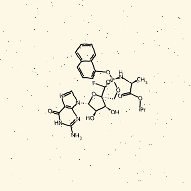 CC(C)OC(=O)[C@H](C)N[P@](=O)(OC[C@@]1(C(F)F)O[C@@H](n2cnc3c(=O)[nH]c(N)nc32)[C@H](O)[C@@H]1O)Oc1cccc2ccccc12